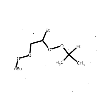 CCCCOOCC(CC)OOC(C)(C)CC